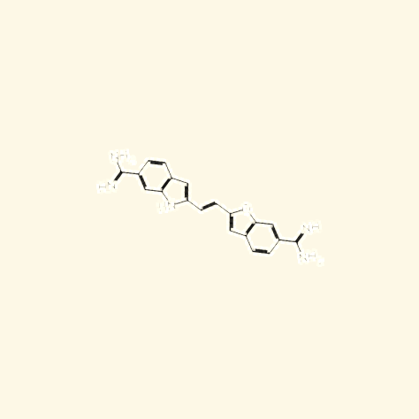 N=C(N)c1ccc2cc(/C=C/c3cc4ccc(C(=N)N)cc4o3)[nH]c2c1